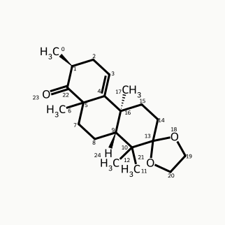 C[C@H]1CC=C2C(C)(CC[C@H]3C(C)(C)C4(CC[C@]23C)OCCO4)C1=O